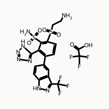 NCCS(=O)(=O)c1ccc(-c2ccc3[nH]nc(C(F)(F)F)c3c2)c(-c2nnn[nH]2)c1S(N)(=O)=O.O=C(O)C(F)(F)F